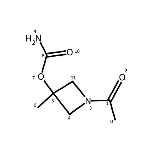 CC(=O)N1CC(C)(OC(N)=O)C1